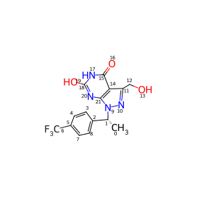 C[C@H](c1ccc(C(F)(F)F)cc1)n1nc(CO)c2c(=O)[nH]c(O)nc21